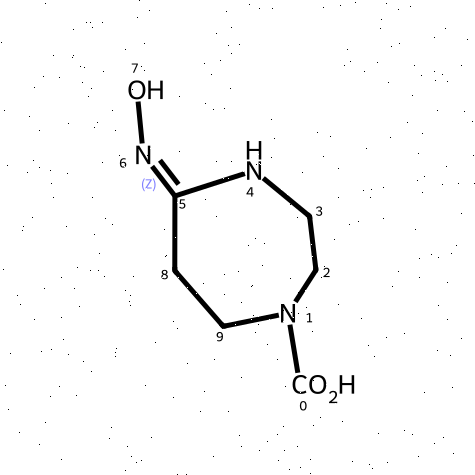 O=C(O)N1CCN/C(=N\O)CC1